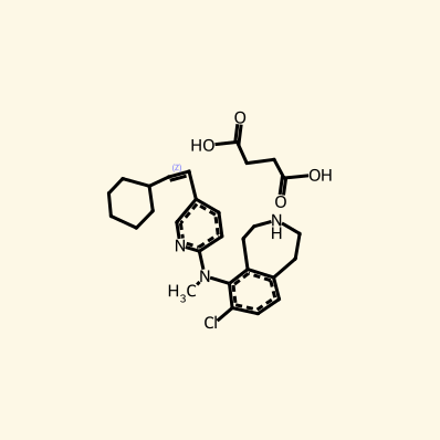 CN(c1ccc(/C=C\C2CCCCC2)cn1)c1c(Cl)ccc2c1CCNCC2.O=C(O)CCC(=O)O